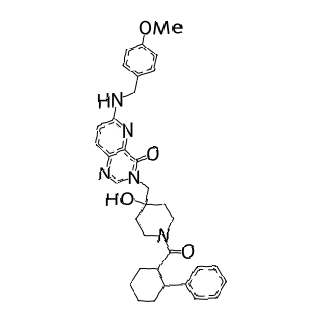 COc1ccc(CNc2ccc3ncn(CC4(O)CCN(C(=O)C5CCCCC5c5ccccc5)CC4)c(=O)c3n2)cc1